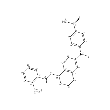 C[C@H](O)c1ccc(N(C)c2ccc3c(c2)CCCC3CNc2cnccc2C(=O)O)cc1